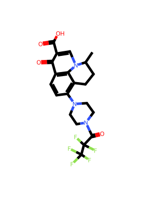 CC1CCc2c(N3CCN(C(=O)C(F)(F)C(F)(F)F)CC3)ccc3c(=O)c(C(=O)O)cn1c23